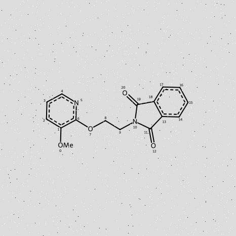 COc1cccnc1OCCN1C(=O)c2ccccc2C1=O